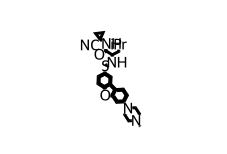 CC(C)CC(NSc1ccc2oc3cc(N4CCN(C)CC4)ccc3c2c1)C(=O)NC1(C#N)CC1